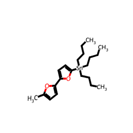 CCC[CH2][Sn]([CH2]CCC)([CH2]CCC)[c]1ccc(-c2ccc(C)o2)o1